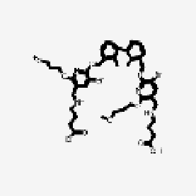 COCCCOc1nc(OCc2cccc(-c3cccc(COc4nc(OCCCOC)c(CNCCCC(=O)O)cc4Br)c3C)c2C)c(Br)cc1CNCCCC(=O)O